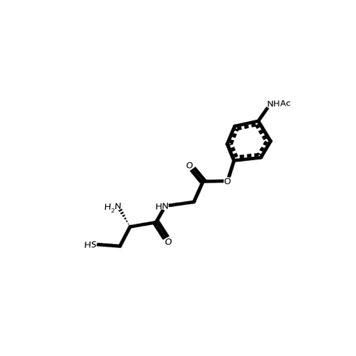 CC(=O)Nc1ccc(OC(=O)CNC(=O)[C@@H](N)CS)cc1